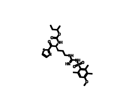 CCC(C)OC(=O)N[C@@H](CCCNC(=N)NS(=O)(=O)c1c(C)cc(OC)c(C)c1C)C(=O)c1nccs1